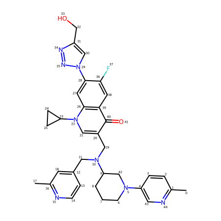 Cc1ccc(N2CCCC(N(Cc3ccnc(C)c3)Cc3cn(C4CC4)c4cc(-n5cc(CO)nn5)c(F)cc4c3=O)C2)cn1